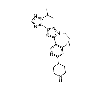 CC(C)n1ncnc1-c1cn2c(n1)-c1cnc(C3CCNCC3)cc1OCC2